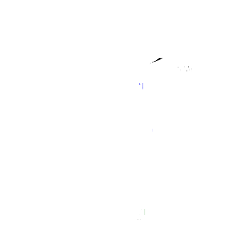 CNC(=O)[C@@H]1C[C@@H](c2ccccc2)CN1C(=O)/C=C/c1ccc(Cl)cc1F